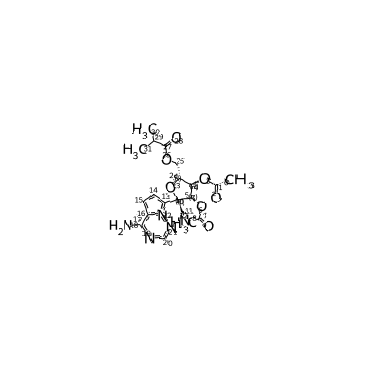 CC(=O)O[C@H]1[C@@H](OC(C)=O)[C@](C#N)(c2ccc3c(N)ncnn23)O[C@@H]1COC(=O)C(C)C